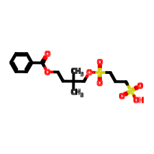 CC(C)(CCOC(=O)c1ccccc1)COS(=O)(=O)CCCS(=O)(=O)O